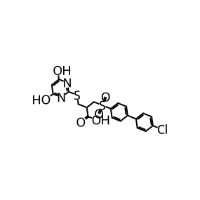 O=C(O)C(CSc1nc(O)cc(O)n1)CS(=O)(=O)c1ccc(-c2ccc(Cl)cc2)cc1